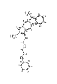 Cc1oc2cc3c(cc2[n+]1CCOCCOc1ccccc1)c1ccccc1n3C